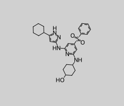 O=S(=O)(c1ccccc1)c1cc(Nc2cc(C3CCCCC3)[nH]n2)nc(NC2CCC(O)CC2)c1